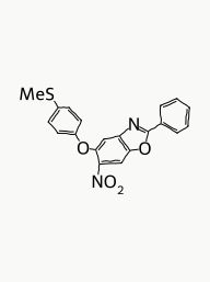 CSc1ccc(Oc2cc3nc(-c4ccccc4)oc3cc2[N+](=O)[O-])cc1